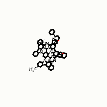 Cc1ccc2c(c1)c1ccccc1n2-c1cc(-n2c3ccccc3c3cc(C)ccc32)c(-c2nc(-c3ccccc3)nc(-c3ccccc3)n2)c(-n2c3ccc(-c4ccccc4)cc3c3cc(-c4cccc(-c5ccccc5)n4)ccc32)c1-c1nc(-c2ccccc2)nc(-c2ccccc2)n1